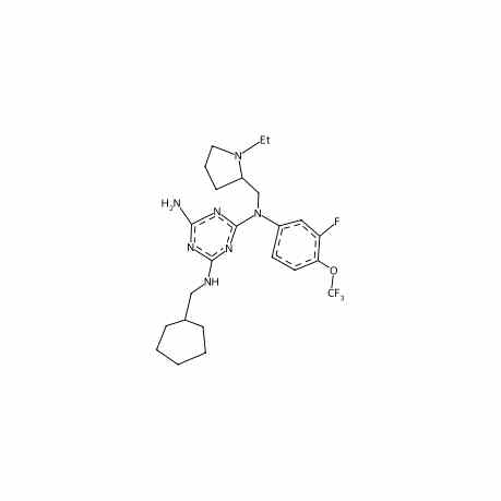 CCN1CCCC1CN(c1ccc(OC(F)(F)F)c(F)c1)c1nc(N)nc(NCC2CCCCC2)n1